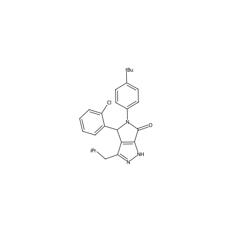 CC(C)Cc1n[nH]c2c1C(c1ccccc1Cl)N(c1ccc(C(C)(C)C)cc1)C2=O